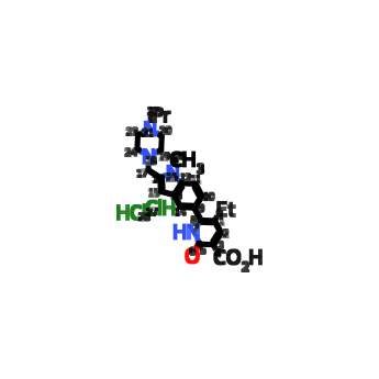 CCc1cc(C(=O)O)c(=O)[nH]c1-c1ccc2c(c1)cc(CN1CCN(C(C)C)CC1)n2C.Cl.Cl